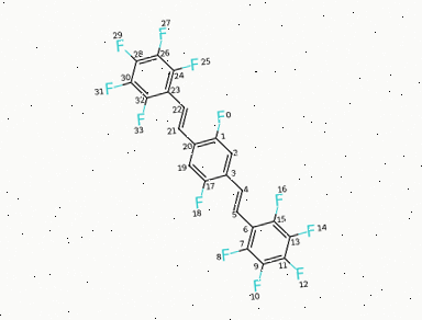 Fc1cc(/C=C/c2c(F)c(F)c(F)c(F)c2F)c(F)cc1/C=C/c1c(F)c(F)c(F)c(F)c1F